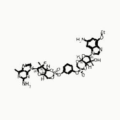 CCOc1cc(N)cc2c1ncn2[C@@H]1O[C@@H]2OCP(=O)(Oc3cccc(OP4(=O)OC[C@H]5O[C@@H](n6cnc7c(C)nc(N)nc76)[C@](C)(F)[C@@H]5O4)c3)O[C@H]2[C@@]1(C)O